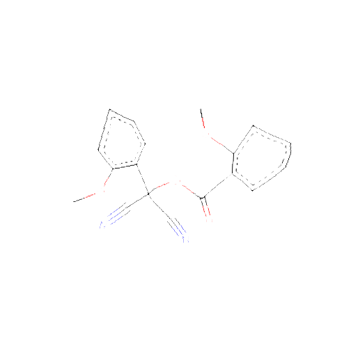 COc1ccccc1C(=O)OC(C#N)(C#N)c1ccccc1OC